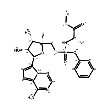 CC(C)OC(=O)[C@H](C)N[P@](=O)(OC[C@@]1(C)O[C@@H](c2ccc3c(N)ncnn23)[C@H](O)[C@@H]1O)Oc1ccccc1